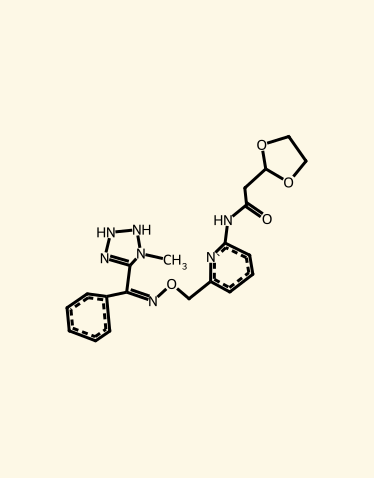 CN1NNN=C1/C(=N\OCc1cccc(NC(=O)CC2OCCO2)n1)c1ccccc1